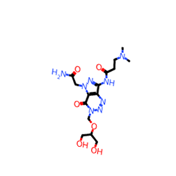 CN(C)CCC(=O)Nc1nn(CC(N)=O)c2c(=O)n(COC(CO)CO)nnc12